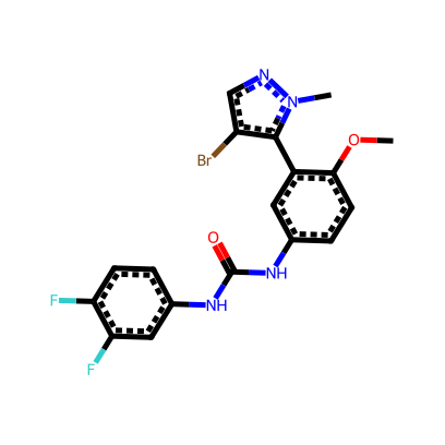 COc1ccc(NC(=O)Nc2ccc(F)c(F)c2)cc1-c1c(Br)cnn1C